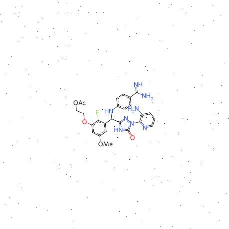 COc1cc(OCCOC(C)=O)c(F)c(C(Nc2ccc(C(=N)N)cc2)c2nn(-c3ncccc3N)c(=O)[nH]2)c1